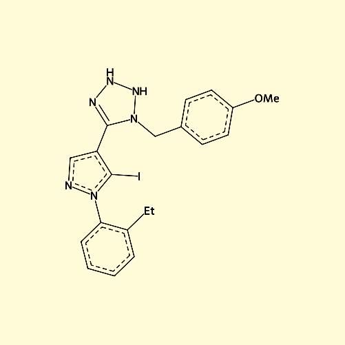 CCc1ccccc1-n1ncc(C2=NNNN2Cc2ccc(OC)cc2)c1I